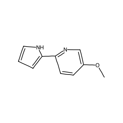 COc1ccc(-c2ccc[nH]2)nc1